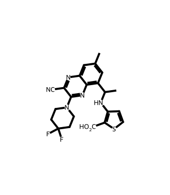 Cc1cc(C(C)Nc2ccsc2C(=O)O)c2nc(N3CCC(F)(F)CC3)c(C#N)nc2c1